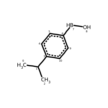 CC(C)c1ccc(BO)cc1